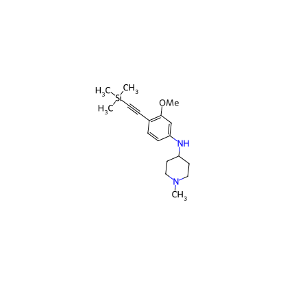 COc1cc(NC2CCN(C)CC2)ccc1C#C[Si](C)(C)C